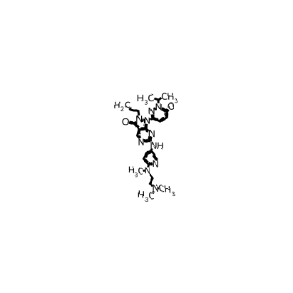 C=CCn1c(=O)c2cnc(Nc3ccc(N(C)CCN(C)C)nc3)nc2n1-c1ccc(=O)n(C(C)C)n1